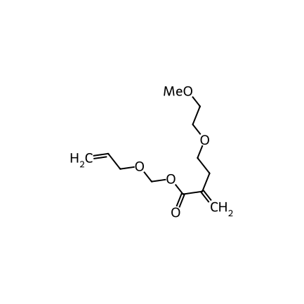 C=CCOCOC(=O)C(=C)CCOCCOC